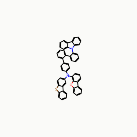 c1ccc(-c2ccccc2-n2c3ccccc3c3ccccc32)c(-c2ccc(N(c3ccc4sc5ccccc5c4c3)c3cccc4c3oc3ccccc34)cc2)c1